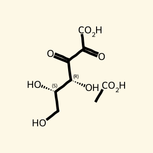 CC(=O)O.O=C(O)C(=O)C(=O)[C@H](O)[C@@H](O)CO